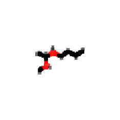 CCC[CH]OC(C)OC